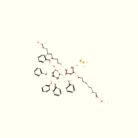 COC(=O)CCCCCCCCO[C@H]1O[C@H](COS(C)(=O)=O)[C@@H](OCCCCCCCCC(=O)OC)[C@H](OCc2ccccc2)[C@H]1O[C@@H]1O[C@H](COCc2ccccc2)[C@@H](OCc2ccccc2)[C@H](OCc2ccccc2)[C@H]1OCc1ccccc1